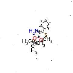 CSC(c1ccccc1)C(N)C(=O)OC(C)(C)C